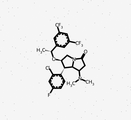 C[C@@H](O[C@H]1CN2C(=O)CC(N(C)C)C2[C@@H]1c1ccc(F)cc1Cl)c1cc(C(F)(F)F)cc(C(F)(F)F)c1